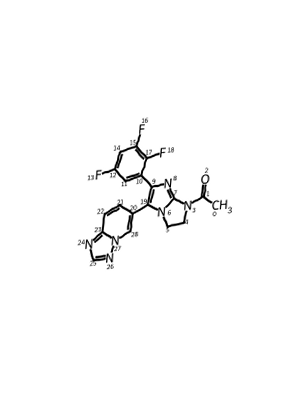 CC(=O)N1CCn2c1nc(-c1cc(F)cc(F)c1F)c2-c1ccc2ncnn2c1